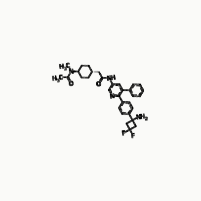 CC(=O)N(C)[C@H]1CC[C@H](CC(=O)Nc2cnc(-c3ccc(C4(N)CC(F)(F)C4)cc3)c(-c3ccccc3)c2)CC1